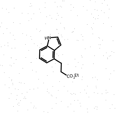 CCOC(=O)CCc1cccc2[nH]ccc12